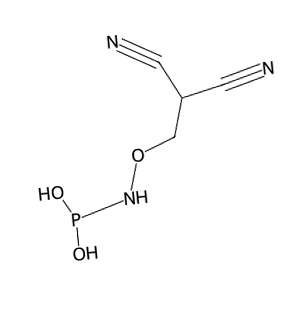 N#CC(C#N)CONP(O)O